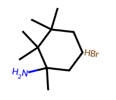 Br.CC1(C)CCCC(C)(N)C1(C)C